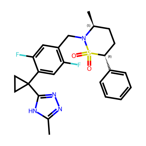 Cc1nnc(C2(c3cc(F)c(CN4[C@@H](C)CC[C@H](c5ccccc5)S4(=O)=O)cc3F)CC2)[nH]1